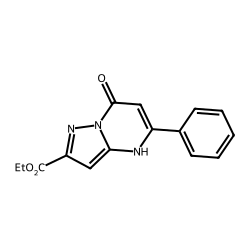 CCOC(=O)c1cc2[nH]c(-c3ccccc3)cc(=O)n2n1